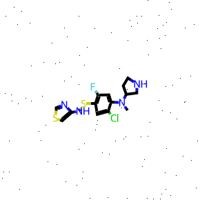 CN(c1cc(F)c(SNc2cscn2)cc1Cl)C1CCNC1